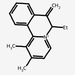 C=C1c2ccccc2-c2c(C)c(C)cc[n+]2C1CC